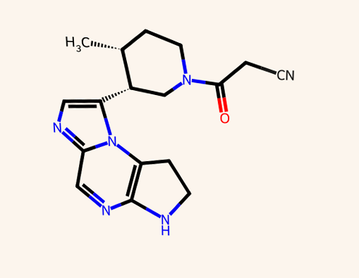 C[C@@H]1CCN(C(=O)CC#N)C[C@@H]1c1cnc2cnc3c(n12)CCN3